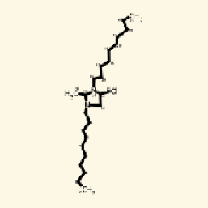 CCCCCCCCCCN1CC(Cl)N(CCCCCCCCCC)C1C